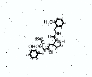 Cc1ccccc1CNC(=O)C1NCCC1C[C@H](O)[C@H](Cc1ccccc1)N(C=O)OC(C)(C)C